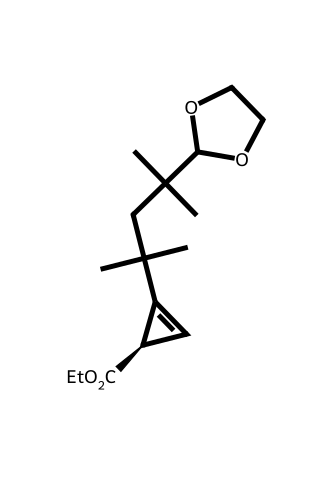 CCOC(=O)[C@@H]1C=C1C(C)(C)CC(C)(C)C1OCCO1